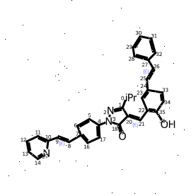 CC(C)C1=NN(c2ccc(/C=C/c3ccccn3)cc2)C(=O)/C1=C/c1cc(/C=C/c2ccccc2)ccc1O